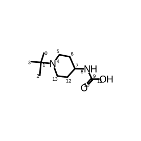 CC(C)(C)N1CCC(NC(=O)O)CC1